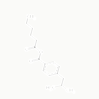 CCCCCC(=O)OC(=O)c1ccc(CC(C)C)cc1